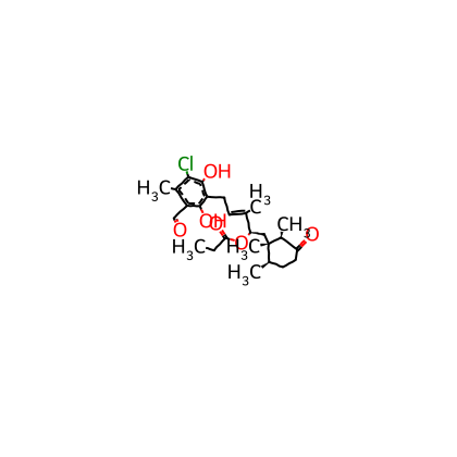 CCC(=O)O[C@H](C[C@@]1(C)[C@H](C)CCC(=O)[C@@H]1C)/C(C)=C/Cc1c(O)c(Cl)c(C)c(C=O)c1O